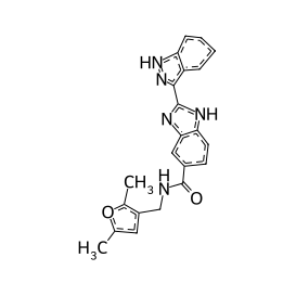 Cc1cc(CNC(=O)c2ccc3[nH]c(-c4n[nH]c5ccccc45)nc3c2)c(C)o1